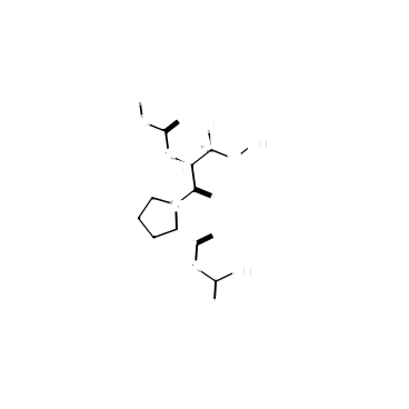 COC(=O)N[C@H](C(=O)N1CCC[C@H]1C(=O)NC(C)C)[C@@H](C)OC